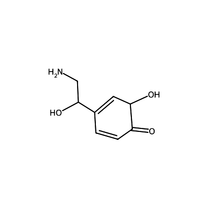 NCC(O)C1=CC(O)C(=O)C=C1